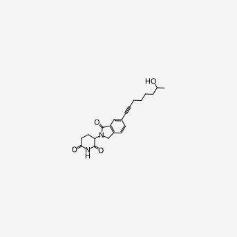 CC(O)CCCCC#Cc1ccc2c(c1)C(=O)N(C1CCC(=O)NC1=O)C2